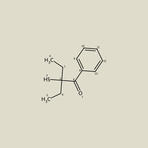 CCC(S)(CC)C(=O)c1ccccc1